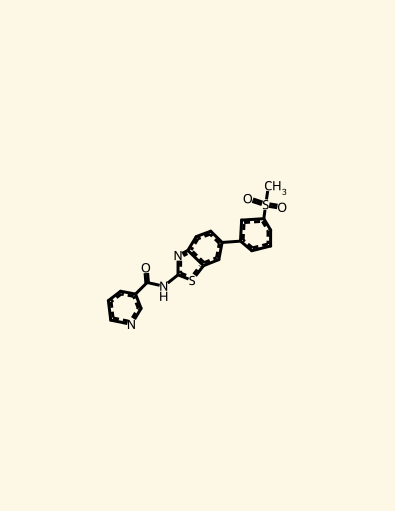 CS(=O)(=O)c1cccc(-c2ccc3nc(NC(=O)c4cccnc4)sc3c2)c1